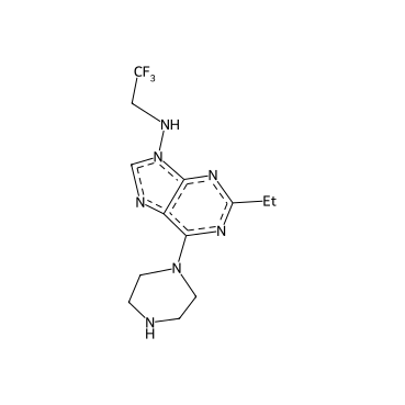 CCc1nc(N2CCNCC2)c2ncn(NCC(F)(F)F)c2n1